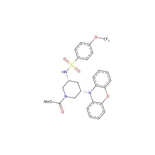 COC(=O)N1C[C@H](NS(=O)(=O)c2ccc(OC(F)(F)F)cc2)C[C@H](N2c3ccccc3Oc3ccccc32)C1